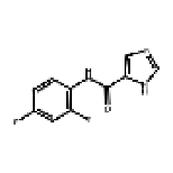 O=C(Nc1ccc(F)cc1F)c1cnc[nH]1